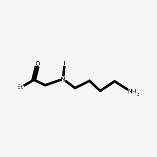 CCC(=O)CN(I)CCCCN